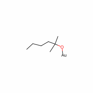 CCCCC(C)(C)[O][Au]